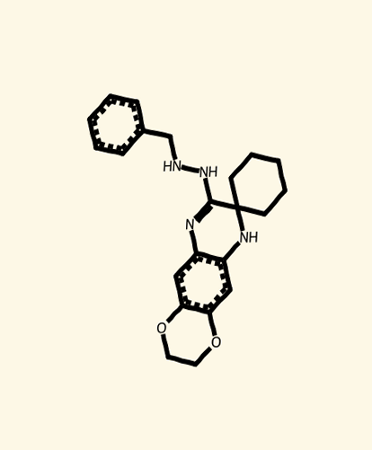 c1ccc(CNNC2=Nc3cc4c(cc3NC23CCCCC3)OCCO4)cc1